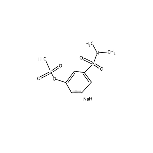 CN(C)S(=O)(=O)c1cccc(OS(C)(=O)=O)c1.[NaH]